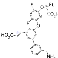 CC[C@@H](Oc1nc(Oc2cc(/C=C/C(=O)O)cc(-c3cccc(CN)c3)c2)c(F)cc1F)C(=O)O